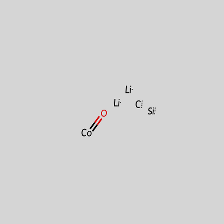 [C].[Li].[Li].[O]=[Co].[Si]